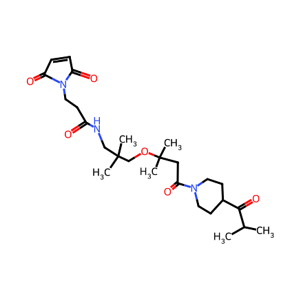 CC(C)C(=O)C1CCN(C(=O)CC(C)(C)OCC(C)(C)CNC(=O)CCN2C(=O)C=CC2=O)CC1